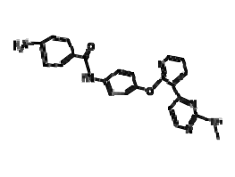 CNc1nccc(-c2cccnc2Oc2ccc(NC(=O)c3ccc(N)cc3)cc2)n1